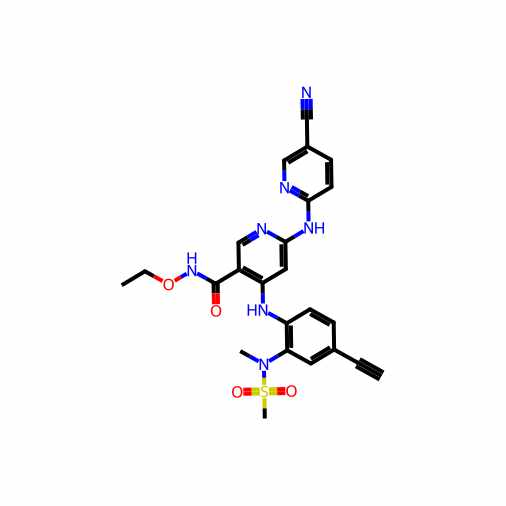 C#Cc1ccc(Nc2cc(Nc3ccc(C#N)cn3)ncc2C(=O)NOCC)c(N(C)S(C)(=O)=O)c1